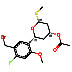 COc1cc(F)c(CBr)cc1[C@H]1C[C@@H](OC(C)=O)C[C@@H](SC)O1